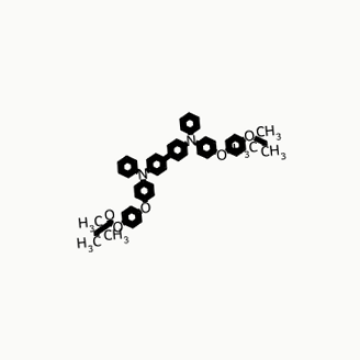 CCC(C)(C)Oc1ccc(Oc2ccc(N(c3ccccc3)c3ccc(-c4ccc(N(c5ccccc5)c5ccc(Oc6ccc(OC(=O)C(C)(C)CC)cc6)cc5)cc4)cc3)cc2)cc1